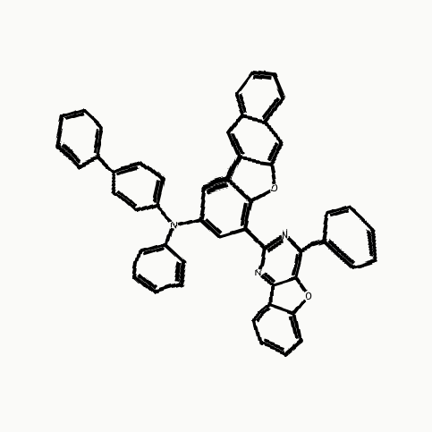 c1ccc(-c2ccc(N(c3ccccc3)c3cc(-c4nc(-c5ccccc5)c5oc6ccccc6c5n4)c4oc5cc6ccccc6cc5c4c3)cc2)cc1